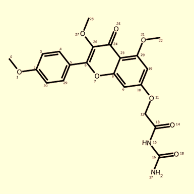 COc1ccc(-c2oc3cc(OCC(=O)NC(N)=O)cc(OC)c3c(=O)c2OC)cc1